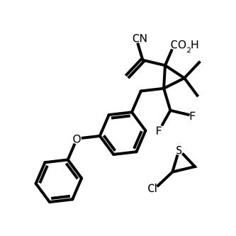 C=C(C#N)C1(C(=O)O)C(C)(C)C1(Cc1cccc(Oc2ccccc2)c1)C(F)F.ClC1CS1